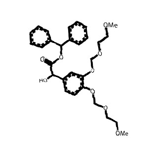 COCCOCOc1ccc(C(O)C(=O)OC(c2ccccc2)c2ccccc2)cc1OCOCCOC